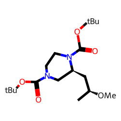 CO[C@@H](C)C[C@H]1CN(C(=O)OC(C)(C)C)CCN1C(=O)OC(C)(C)C